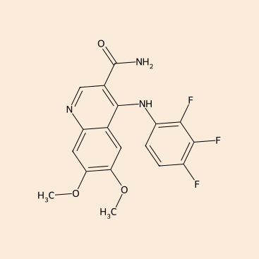 COc1cc2ncc(C(N)=O)c(Nc3ccc(F)c(F)c3F)c2cc1OC